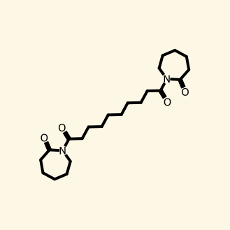 O=C(CCCCCCCCC(=O)N1CCCCCC1=O)N1CCCCCC1=O